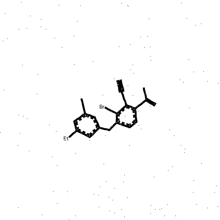 C#Cc1c(C(=C)C)ccc(Cc2cc(C)cc(CC)c2)c1Br